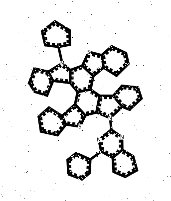 c1ccc(-c2nc(-n3c4ccccc4c4c5c6c7ccccc7sc6c6c(c7ccccc7n6-c6ccccc6)c5c5c6ccccc6sc5c43)nc3ccccc23)cc1